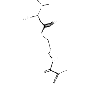 C=C(C)C(=O)NCCOC(=O)C(N(C)C)C(C)(C)C